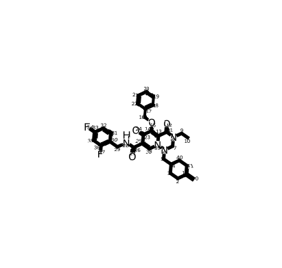 C=C1CCC(CN2CN(CC)C(=O)c3c(OCc4ccccc4)c(=O)c(C(=O)NCc4ccc(F)cc4F)cn32)CC1